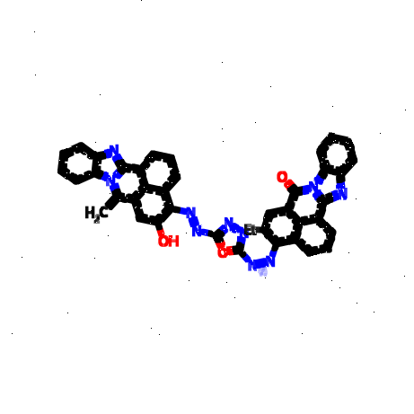 C=c1c2cc(O)c(N=Nc3nnc(/N=N\c4c(CC)cc5c(=O)n6c7ccccc7nc6c6cccc4c56)o3)c3cccc(c32)c2nc3ccccc3n12